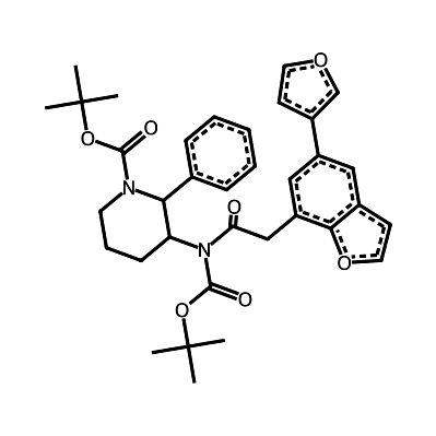 CC(C)(C)OC(=O)N1CCCC(N(C(=O)Cc2cc(-c3ccoc3)cc3ccoc23)C(=O)OC(C)(C)C)C1c1ccccc1